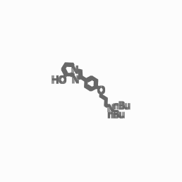 CCCCN(CCCC)CCCOc1ccc(-c2cn3cccc(O)c3n2)cc1